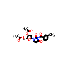 CC(=O)OC[C@H]1O[C@@H](n2ccc(=O)n(C(=O)c3cccc(C)c3)c2=O)C[C@@H]1OC(C)=O